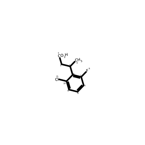 CC(CC(=O)O)c1c(F)cccc1Cl